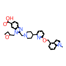 Cn1ccc2c(COc3cccc(C4CCN(Cc5nc6ccc(C(=O)O)cc6n5CC5CCO5)CC4)n3)cccc21